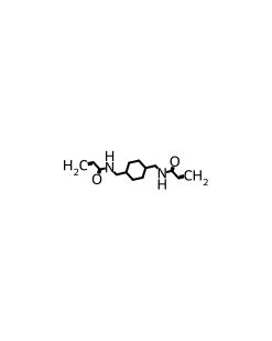 C=CC(=O)NCC1CCC(CNC(=O)C=C)CC1